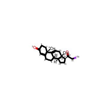 C[C@]12CCC(=O)C=C1CC[C@@H]1C2=CC[C@]2(C)[C@@H](C(=O)CI)CC[C@@H]12